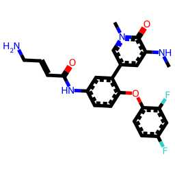 CNc1cc(-c2cc(NC(=O)/C=C/CN)ccc2Oc2ccc(F)cc2F)cn(C)c1=O